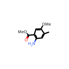 COC(=O)c1cc(OC)c(C)cc1N